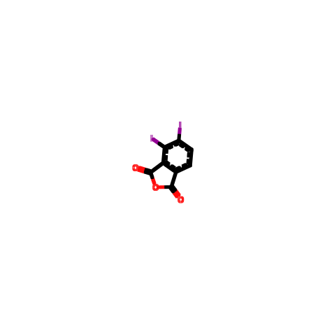 O=C1OC(=O)c2c1ccc(I)c2I